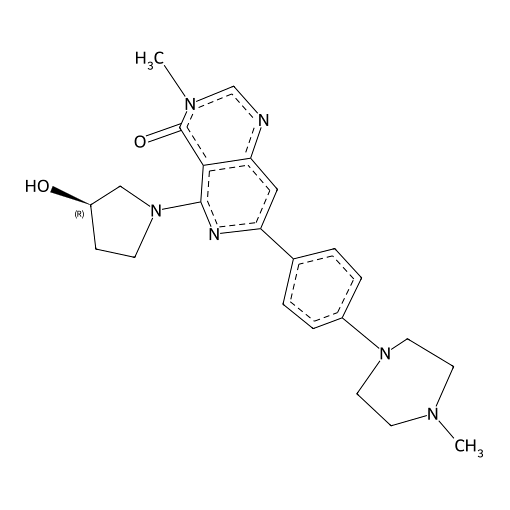 CN1CCN(c2ccc(-c3cc4ncn(C)c(=O)c4c(N4CC[C@@H](O)C4)n3)cc2)CC1